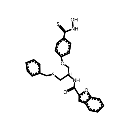 O=C(N[C@H](COc1ccc(C(=S)NO)cc1)CSCc1ccccc1)c1cc2ccccc2o1